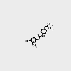 CC(C)=C[C@H]1CC[C@@H](NC(=O)Cc2ccc(O)c(C)c2)CC1